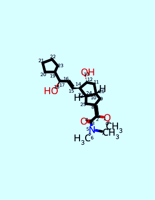 CO/C(C(=O)N(C)C)=C1\C[C@H]2C[C@@H](O)[C@H](/C=C/[C@@H](O)C3CCCC3)[C@H]2C1